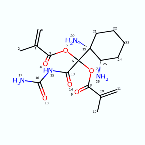 C=C(C)C(=O)OC(OC(=O)C(=C)C)(C(=O)NC(N)=O)[C@@]1(N)CCCC[C@@H]1N